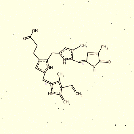 C=Cc1c(C)/c(=C\c2cc(CCC(=O)O)c(Cc3cc(C)c(/C=C4\C=C(C)C(=O)N4)[nH]3)[nH]2)[nH]c1=C